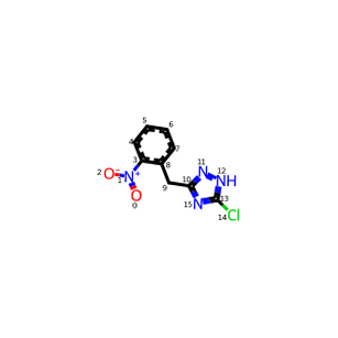 O=[N+]([O-])c1ccccc1Cc1n[nH]c(Cl)n1